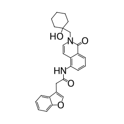 O=C(Cc1coc2ccccc12)Nc1cccc2c(=O)n(CC3(O)CCCCC3)ccc12